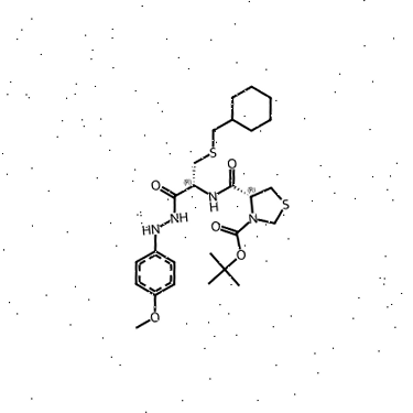 COc1ccc(NNC(=O)[C@H](CSCC2CCCCC2)NC(=O)[C@@H]2CSCN2C(=O)OC(C)(C)C)cc1